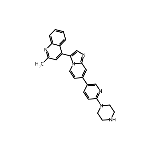 Cc1cc(-c2cnc3cc(-c4ccc(N5CCNCC5)nc4)ccn23)c2ccccc2n1